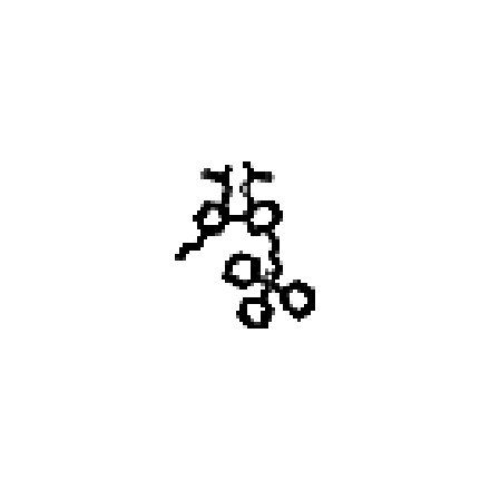 C=CCc1ccc(OC(C)=O)c(-c2cc(CCC[PH](c3ccccc3)(c3ccccc3)c3ccccc3)ccc2OC(C)=O)c1